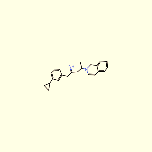 CC(CC(=N)Cc1cccc(C2CC2)c1)N1C=Cc2ccccc2C1